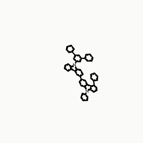 c1ccc(-c2cc(-c3ccccc3)cc(-n3c4ccccc4c4cc(-c5ccc6c(c5)c5c(-c7ccccc7)cccc5n6-c5ccccc5)ccc43)c2)cc1